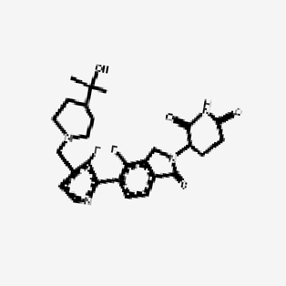 CC(C)(O)C1CCN(Cc2ccnc(-c3ccc4c(c3F)CN(C3CCC(=O)NC3=O)C4=O)c2F)CC1